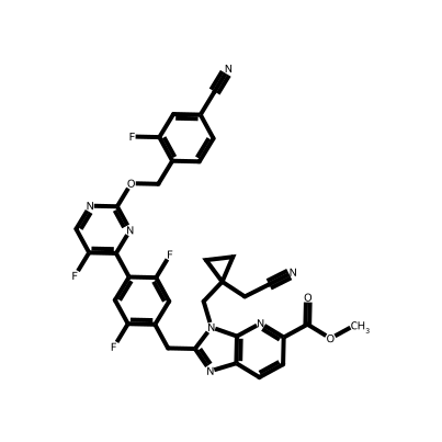 COC(=O)c1ccc2nc(Cc3cc(F)c(-c4nc(OCc5ccc(C#N)cc5F)ncc4F)cc3F)n(CC3(CC#N)CC3)c2n1